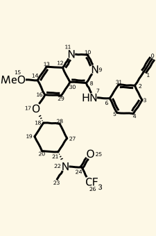 C#Cc1cccc(Nc2ncnc3cc(OC)c(O[C@H]4CC[C@@H](N(C)C(=O)C(F)(F)F)CC4)cc23)c1